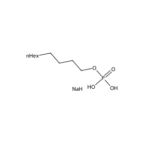 CCCCCCCCCCOP(=O)(O)O.[NaH]